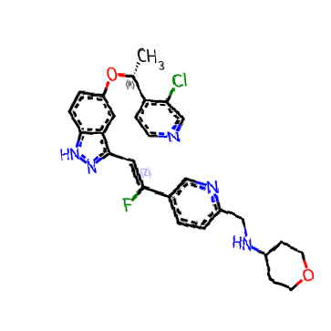 C[C@@H](Oc1ccc2[nH]nc(/C=C(\F)c3ccc(CNC4CCOCC4)nc3)c2c1)c1ccncc1Cl